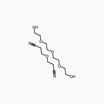 N#CCCOCCC#N.OCCOCCOCCOCCO